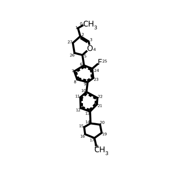 CCC1=COC(c2ccc(-c3ccc(C4CCC(C)CC4)cc3)cc2F)CC1